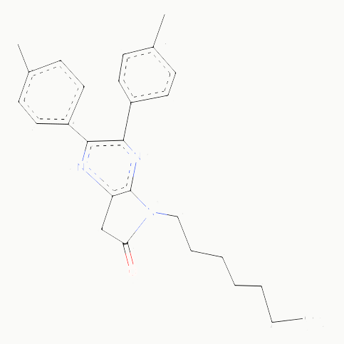 Cc1ccc(-c2nc3c(nc2-c2ccc(C)cc2)N(CCCCCCC(=O)O)C(=O)C3)cc1